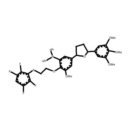 CCCN(CCC)c1cc(C2CCC(c3cc(OC)c(OC)c(OC)c3)O2)cc(OC)c1OCCSc1c(F)c(F)cc(F)c1F